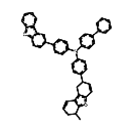 CC1CC=Cc2c1sc1c2CC(c2ccc(N(c3ccc(-c4ccccc4)cc3)c3ccc(-c4ccc5oc6ccccc6c5c4)cc3)cc2)C=C1